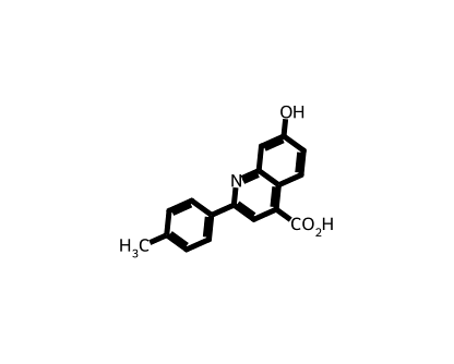 Cc1ccc(-c2cc(C(=O)O)c3ccc(O)cc3n2)cc1